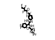 CC(C)n1cnc(C(=O)N[C@H](c2nc3ccc([C@@H](C)NC(=O)C(F)C(F)CF)cc3[nH]2)C2CCC(F)(F)CC2)n1